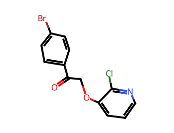 O=C(COc1cccnc1Cl)c1ccc(Br)cc1